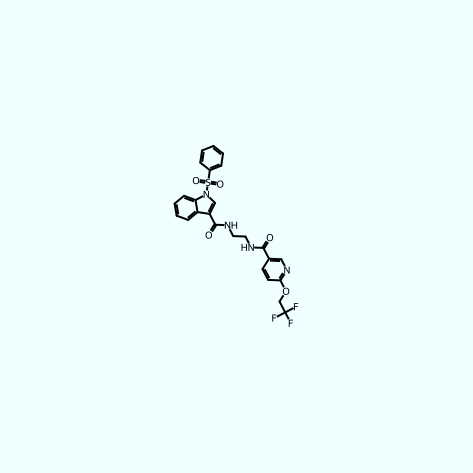 O=C(NCCNC(=O)c1cn(S(=O)(=O)c2ccccc2)c2ccccc12)c1ccc(OCC(F)(F)F)nc1